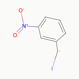 O=[N+]([O-])c1cccc([CH]I)c1